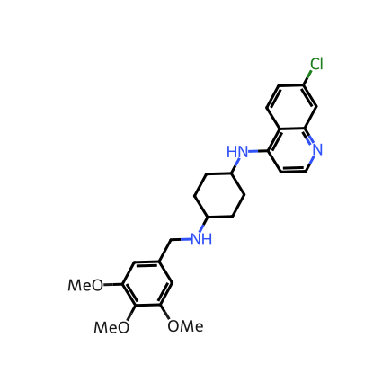 COc1cc(CNC2CCC(Nc3ccnc4cc(Cl)ccc34)CC2)cc(OC)c1OC